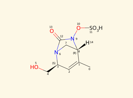 CC1=C[C@@H](CO)N2C[C@@H]1N(OS(=O)(=O)O)C2=O